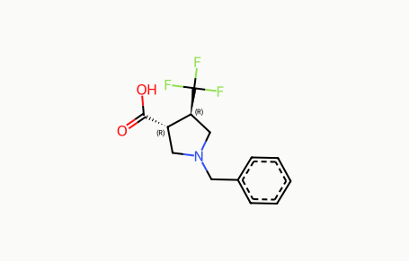 O=C(O)[C@H]1CN(Cc2ccccc2)C[C@@H]1C(F)(F)F